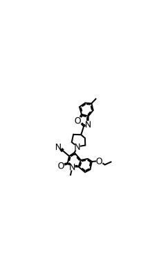 CCOc1ccc2c(c1)c(N1CCC(c3nc4cc(C)ccc4o3)CC1)c(C#N)c(=O)n2C